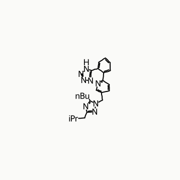 CCCCc1nc(CC(C)C)nn1Cc1ccc(-c2ccccc2-c2nnn[nH]2)nc1